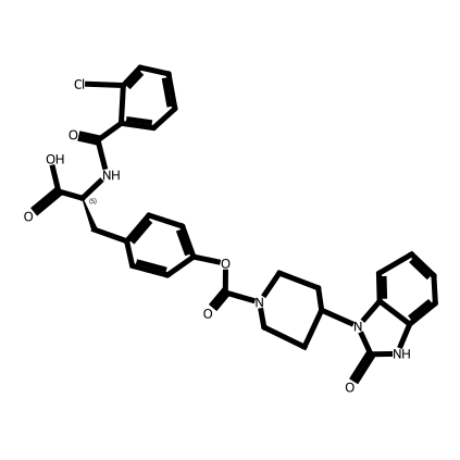 O=C(N[C@@H](Cc1ccc(OC(=O)N2CCC(n3c(=O)[nH]c4ccccc43)CC2)cc1)C(=O)O)c1ccccc1Cl